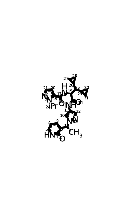 CC(c1ccc[nH]c1=O)n1cc(NC(=O)[C@@H](NC(=O)c2ccnn2C(C)C)C(C2CC2)C2CC2)cn1